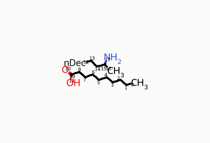 CCCCCCCCCC(=O)O.CCCCCCCCCCCCC(C)N